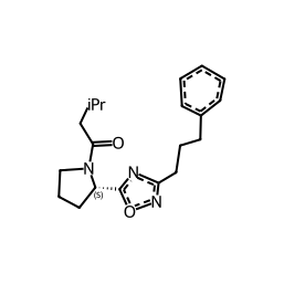 CC(C)CC(=O)N1CCC[C@H]1c1nc(CCCc2ccccc2)no1